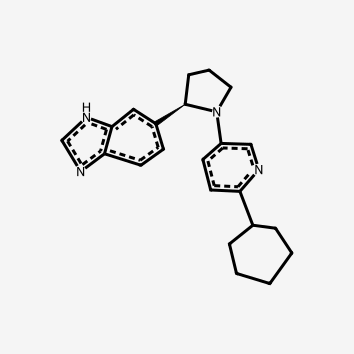 c1nc2ccc([C@H]3CCCN3c3ccc(C4CCCCC4)nc3)cc2[nH]1